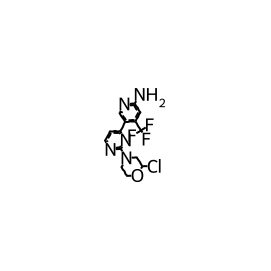 Nc1cc(C(F)(F)F)c(-c2ccnc(N3CCOC(Cl)C3)n2)cn1